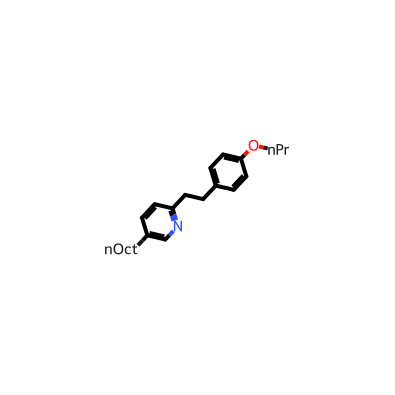 CCCCCCCCc1ccc(CCc2ccc(OCCC)cc2)nc1